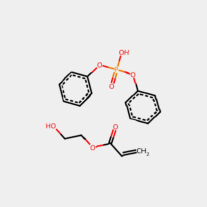 C=CC(=O)OCCO.O=P(O)(Oc1ccccc1)Oc1ccccc1